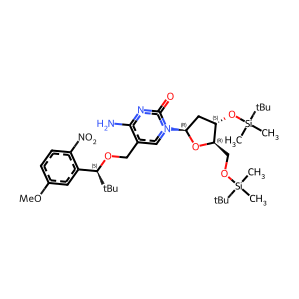 COc1ccc([N+](=O)[O-])c([C@@H](OCc2cn([C@H]3C[C@H](O[Si](C)(C)C(C)(C)C)[C@@H](CO[Si](C)(C)C(C)(C)C)O3)c(=O)nc2N)C(C)(C)C)c1